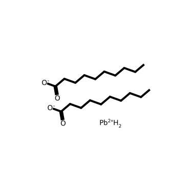 CCCCCCCCCC(=O)[O-].CCCCCCCCCC(=O)[O-].[PbH2+2]